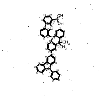 CC1(C)c2ccccc2N(c2cccc3c2oc2c(B(O)O)cccc23)c2ccc(-c3ccc4c(c3)c3ccccc3n4-c3ccccc3)cc21